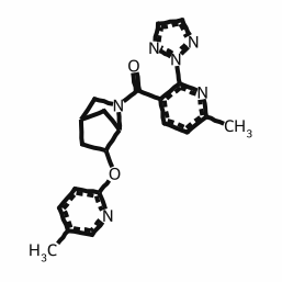 Cc1ccc(OC2CC3CC2N(C(=O)c2ccc(C)nc2-n2nccn2)C3)nc1